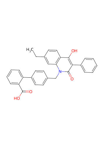 CCc1ccc2c(O)c(-c3ccccc3)c(=O)n(Cc3ccc(-c4ccccc4C(=O)O)cc3)c2c1